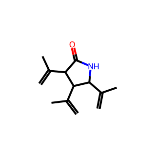 C=C(C)C1NC(=O)C(C(=C)C)C1C(=C)C